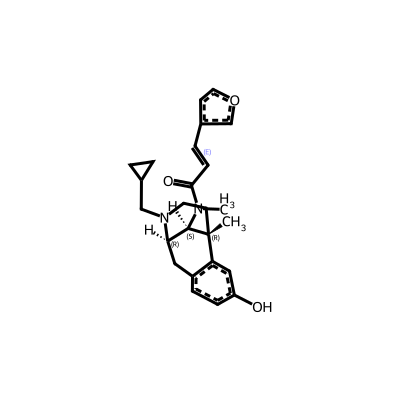 CN(C(=O)/C=C/c1ccoc1)[C@@H]1[C@H]2Cc3ccc(O)cc3[C@@]1(C)CCN2CC1CC1